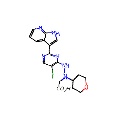 O=C(O)CN(Nc1nc(-c2c[nH]c3ncccc23)ncc1F)C1CCOCC1